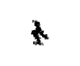 Cc1nnc(-c2cc(C3CCC/C=C/C(OC(=O)NCCC(C)C)C3)c(NC(=O)CCCC(=O)O)cn2)nn1